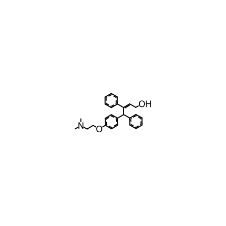 CN(C)CCOc1ccc(C(/C(=C\CO)c2ccccc2)c2ccccc2)cc1